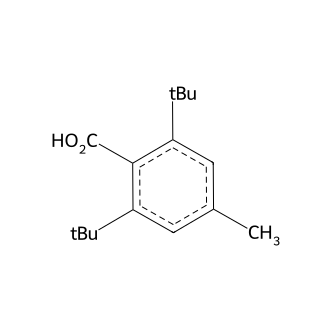 Cc1cc(C(C)(C)C)c(C(=O)O)c(C(C)(C)C)c1